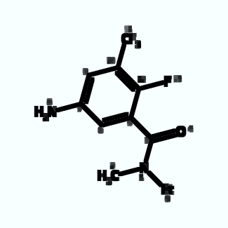 CCN(C)C(=O)c1cc(N)cc(C(F)(F)F)c1F